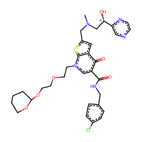 CN(Cc1cc2c(=O)c(C(=O)NCc3ccc(Cl)cc3)cn(CCOCCOC3CCCCO3)c2s1)C[C@@H](O)c1cnccn1